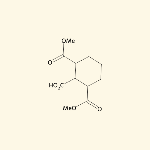 COC(=O)C1CCCC(C(=O)OC)C1C(=O)O